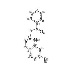 O=C(Cc1ccc2ncc(Br)cc2n1)c1ccccc1